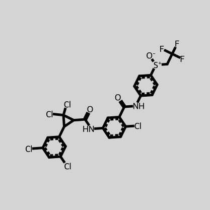 O=C(Nc1ccc([S+]([O-])CC(F)(F)F)cc1)c1cc(NC(=O)C2C(c3cc(Cl)cc(Cl)c3)C2(Cl)Cl)ccc1Cl